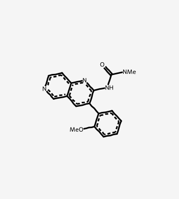 CNC(=O)Nc1nc2ccncc2cc1-c1ccccc1OC